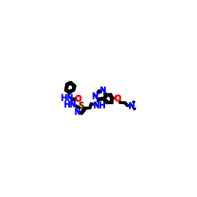 CN(C)CCCOc1ccc2c(NCCc3cnc(NC(=O)Nc4ccccc4)s3)ncnc2c1